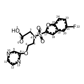 O=C(O)CN(CCOc1cnccn1)S(=O)(=O)c1cc2cc(F)ccc2o1